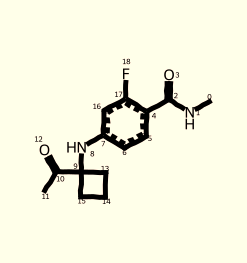 CNC(=O)c1ccc(NC2(C(C)=O)CCC2)cc1F